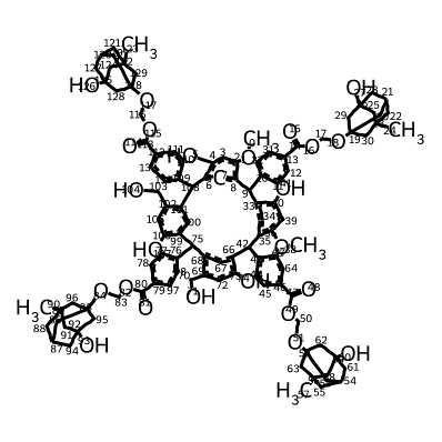 COc1cc(O)c2cc1C(c1ccc(C(=O)OCOC34CC5CC(C)(CC(O)(C5)C3)C4)cc1)c1cc(c(OC)cc1O)C(c1ccc(C(=O)OCOC34CC5CC(C)(CC(O)(C5)C3)C4)cc1)c1cc(c(CO)cc1O)C(c1ccc(C(=O)OCOC34CC5CC(C)(CC(O)(C5)C3)C4)cc1)c1cc(c(CO)cc1O)C2c1ccc(C(=O)OCOC23CC4CC(C)(CC(O)(C4)C2)C3)cc1